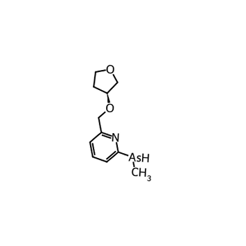 C[AsH]c1cccc(CO[C@H]2CCOC2)n1